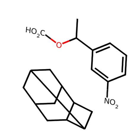 C1C2CC3CC1C1CC3C1C2.CC(OC(=O)O)c1cccc([N+](=O)[O-])c1